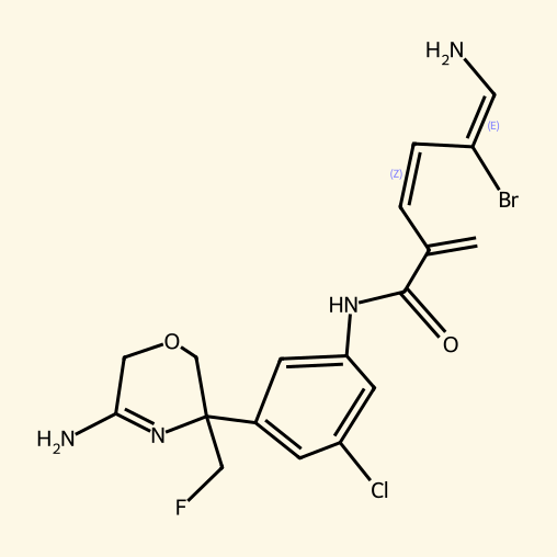 C=C(/C=C\C(Br)=C/N)C(=O)Nc1cc(Cl)cc(C2(CF)COCC(N)=N2)c1